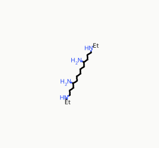 CCNCCCC(N)CCCCCC(N)CCCNCC